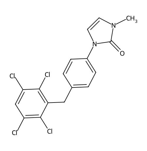 Cn1ccn(-c2ccc(Cc3c(Cl)c(Cl)cc(Cl)c3Cl)cc2)c1=O